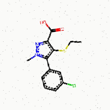 CCSc1c(C(=O)O)nn(C)c1-c1cccc(Cl)c1